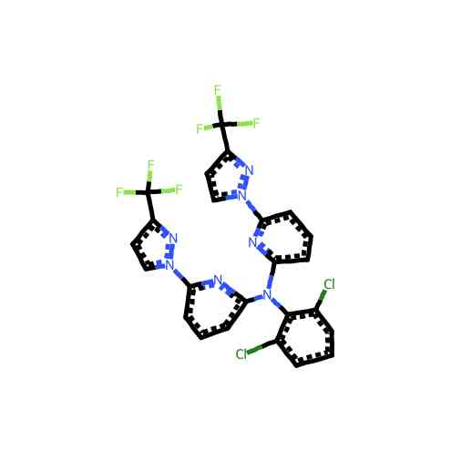 FC(F)(F)c1ccn(-c2cccc(N(c3cccc(-n4ccc(C(F)(F)F)n4)n3)c3c(Cl)cccc3Cl)n2)n1